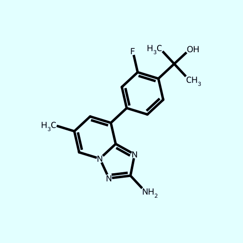 Cc1cc(-c2ccc(C(C)(C)O)c(F)c2)c2nc(N)nn2c1